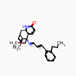 C/C=C1\C2C=C(C)CC1(/N=C/C=C/c1ccccc1CCC)c1ccc(=O)[nH]c1C2